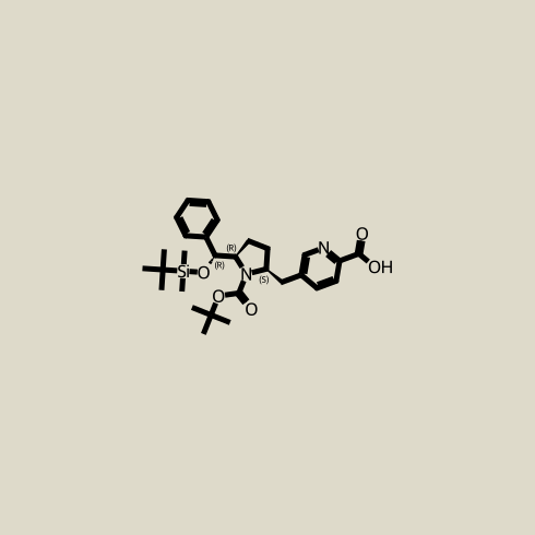 CC(C)(C)OC(=O)N1[C@H](Cc2ccc(C(=O)O)nc2)CC[C@@H]1[C@H](O[Si](C)(C)C(C)(C)C)c1ccccc1